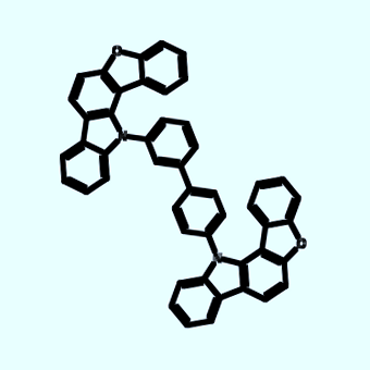 c1cc(-c2ccc(-n3c4ccccc4c4ccc5oc6ccccc6c5c43)cc2)cc(-n2c3ccccc3c3ccc4oc5ccccc5c4c32)c1